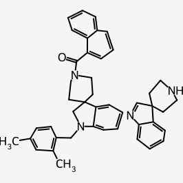 C1=Nc2ccccc2C12CCNCC2.Cc1ccc(CN2CC3(CCN(C(=O)c4cccc5ccccc45)CC3)c3ccccc32)c(C)c1